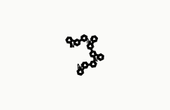 Cn1c2ccccc2c2cc(-c3cccc(-n4c5ccccc5c5cc(-c6ccc7c(c6)c6ccccc6n7-c6cccc(-c7ccc8c(c7)c7ccccc7n8C)c6)ccc54)c3)ccc21